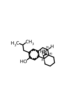 CC(C)Cc1cc2c(cc1O)[C@@]13CCCC[C@H]1[C@@H](C2)NCC3